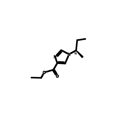 CCOC(=O)c1cn([C@H](C)CC)cn1